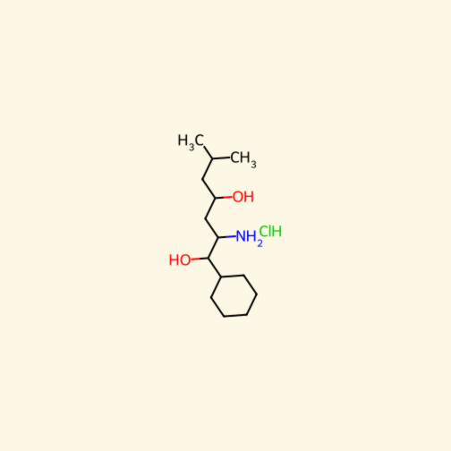 CC(C)CC(O)CC(N)C(O)C1CCCCC1.Cl